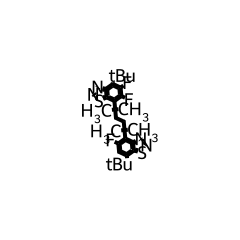 CC(C)(C)c1c(F)c(F)c(C(C)(C)CCC(C)(C)c2c(F)cc(C(C)(C)C)c3snnc23)c2snnc12